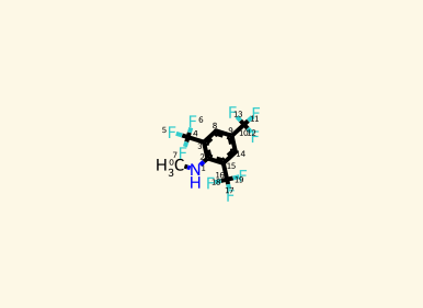 CNc1c(C(F)(F)F)cc(C(F)(F)F)cc1C(F)(F)F